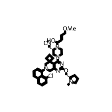 COC/C=C/C(O)N1CCN(c2nc(OC[C@@H]3CCCN3C)nc3c2C2(CCC2)CN(c2cccc4cccc(Cl)c24)C3)C[C@@H]1CC#N